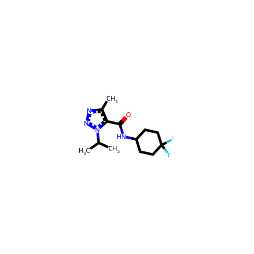 Cc1nnn(C(C)C)c1C(=O)NC1CCC(F)(F)CC1